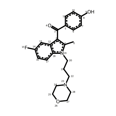 Cc1c(C(=O)c2ccc(O)cc2)c2cc(F)ccc2n1CCCN1CCOCC1